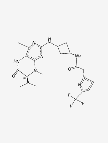 Cc1nc(NC2CC(NC(=O)Cn3ccc(C(F)(F)F)n3)C2)nc2c1NC(=O)[C@H](C(C)C)N2C